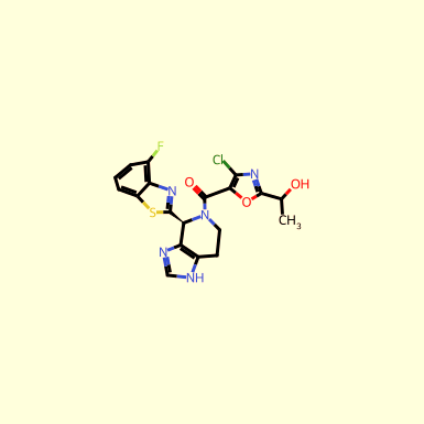 CC(O)c1nc(Cl)c(C(=O)N2CCc3[nH]cnc3[C@H]2c2nc3c(F)cccc3s2)o1